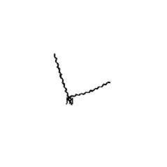 CCCCCC=CCC=CCCCCCCCCC1(CCCCCCCCC=CCC=CCCCCC)CN(C)C1